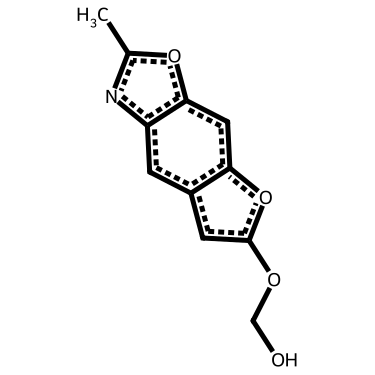 Cc1nc2cc3cc(OCO)oc3cc2o1